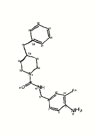 Nc1ccc(CNC(=O)N2CCC(Cc3ccccc3)CC2)cc1F